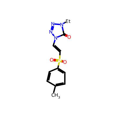 CCn1nnn(C=CS(=O)(=O)c2ccc(C)cc2)c1=O